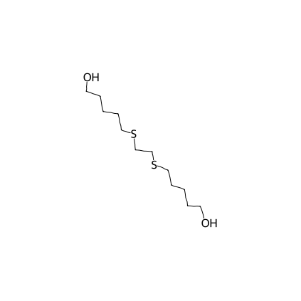 OCCCCCSCCSCCCCCO